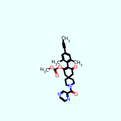 CC#Cc1cc(C)c(C2=C(OC(=O)OC)CC3(CCN(C(=O)c4cnccn4)CC3)CC2=O)c(C)c1